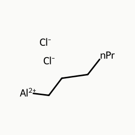 CCCCC[CH2][Al+2].[Cl-].[Cl-]